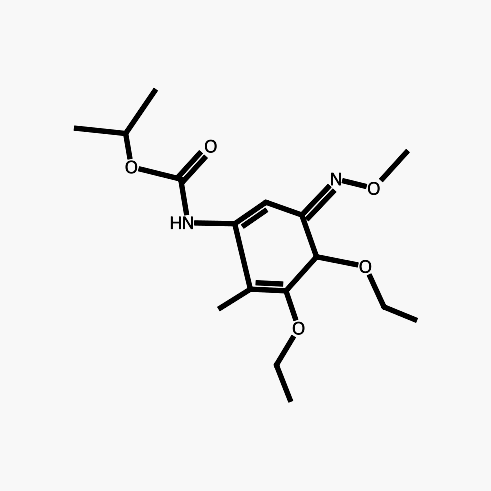 CCOC1=C(C)C(NC(=O)OC(C)C)=CC(=NOC)C1OCC